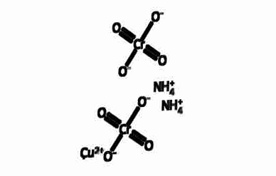 [Cu+2].[NH4+].[NH4+].[O]=[Cr](=[O])([O-])[O-].[O]=[Cr](=[O])([O-])[O-]